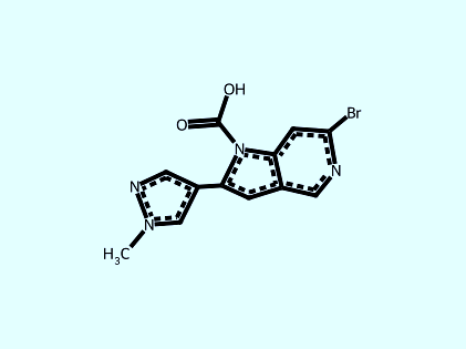 Cn1cc(-c2cc3cnc(Br)cc3n2C(=O)O)cn1